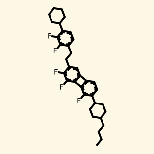 CCCCC1CCC(c2ccc3c(c2F)-c2c-3cc(CCc3ccc(C4CCCCC4)c(F)c3F)c(F)c2F)CC1